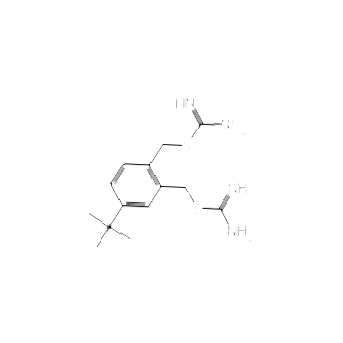 CC(C)(C)c1ccc(CSC(=N)N)c(CSC(=N)N)c1